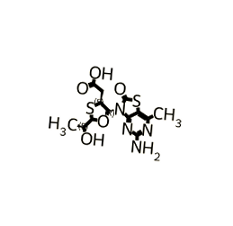 Cc1nc(N)nc2c1sc(=O)n2[C@@H]1OC([C@H](C)O)S[C@H]1CC(=O)O